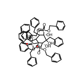 O=P(OCc1ccccc1)(OCc1ccccc1)[C@@]1(O)[C@](O)(Cc2ccccc2)[C@@](O)(P(=O)(OCc2ccccc2)OCc2ccccc2)[C@](O)(P(=O)(OCc2ccccc2)OCc2ccccc2)[C@@](O)(Cc2ccccc2)[C@@]1(O)Cc1ccccc1